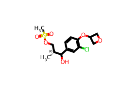 C[C@H](COS(C)(=O)=O)C(O)c1ccc(OC2COC2)c(Cl)c1